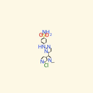 CCn1cc(-c2ccnc(Nc3ccc(S(N)(=O)=O)cc3)n2)c2ccnc(Cl)c21